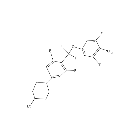 CCC1CCC(c2cc(F)c(C(F)(F)Oc3cc(F)c(C(F)(F)F)c(F)c3)c(F)c2)CC1